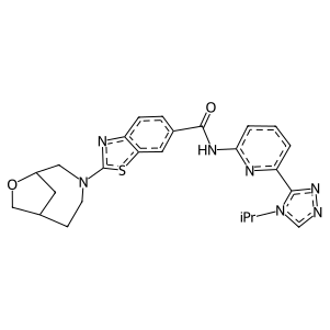 CC(C)n1cnnc1-c1cccc(NC(=O)c2ccc3nc(N4CCC5COC(C5)C4)sc3c2)n1